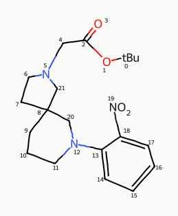 CC(C)(C)OC(=O)CN1CCC2(CCCN(c3ccccc3[N+](=O)[O-])C2)C1